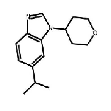 CC(C)c1ccc2ncn(C3CCOCC3)c2c1